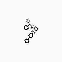 NCC[C@@H](NC(=O)C1SCCN1S(=O)(=O)c1ccc(-c2ccccc2)cc1)c1ccccc1